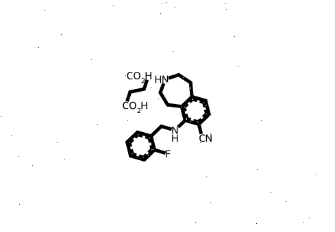 N#Cc1ccc2c(c1NCc1ccccc1F)CCNCC2.O=C(O)CCC(=O)O